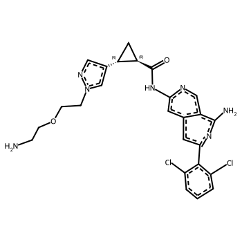 NCCOCCn1cc([C@@H]2C[C@H]2C(=O)Nc2cc3cc(-c4c(Cl)cccc4Cl)nc(N)c3cn2)cn1